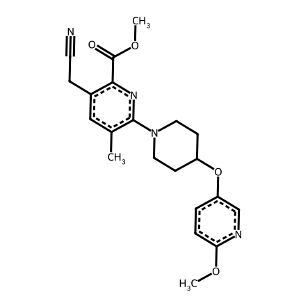 COC(=O)c1nc(N2CCC(Oc3ccc(OC)nc3)CC2)c(C)cc1CC#N